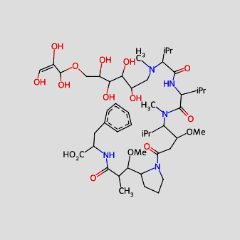 COC(CC(=O)N1CCCC1C(OC)C(C)C(=O)NC(Cc1ccccc1)C(=O)O)C(C(C)C)N(C)C(=O)C(NC(=O)C(C(C)C)N(C)CC(O)C(O)C(O)C(O)COC(O)/C(O)=C\O)C(C)C